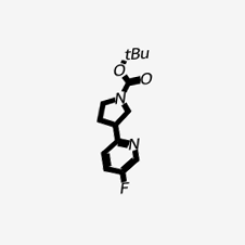 CC(C)(C)OC(=O)N1CCC(c2ccc(F)cn2)C1